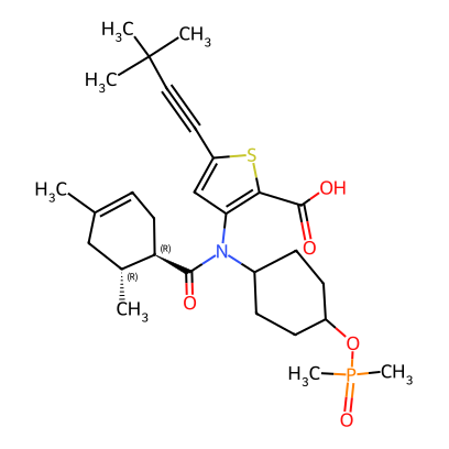 CC1=CC[C@@H](C(=O)N(c2cc(C#CC(C)(C)C)sc2C(=O)O)C2CCC(OP(C)(C)=O)CC2)[C@H](C)C1